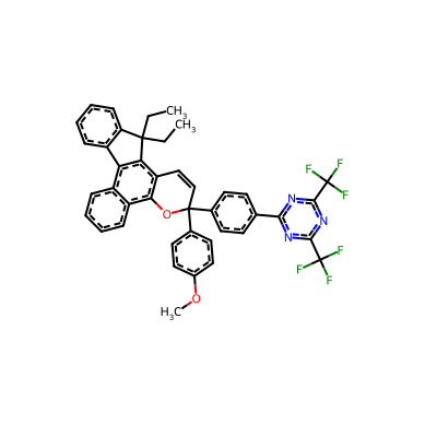 CCC1(CC)c2ccccc2-c2c1c1c(c3ccccc23)OC(c2ccc(OC)cc2)(c2ccc(-c3nc(C(F)(F)F)nc(C(F)(F)F)n3)cc2)C=C1